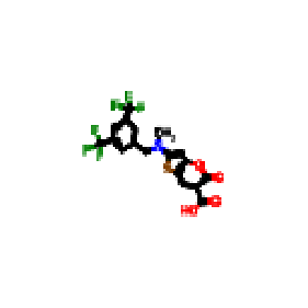 CN(Cc1cc(C(F)(F)F)cc(C(F)(F)F)c1)c1cc2oc(=O)c(C(=O)O)cc2s1